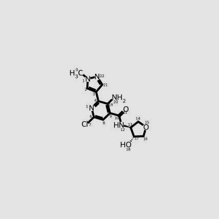 Cn1cc(-c2nc(Cl)cc(C(=O)N[C@H]3COC[C@@H]3O)c2N)cn1